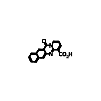 O=C(O)c1cccn2c(=O)c3cc4ccccc4cc3nc12